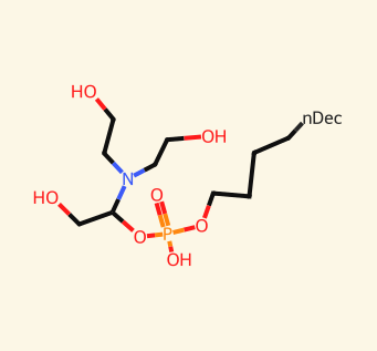 CCCCCCCCCCCCCCOP(=O)(O)OC(CO)N(CCO)CCO